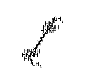 CCCNC(=N)NC(=N)NCCCCCCCCCCNC(=N)NC(=N)NCCC